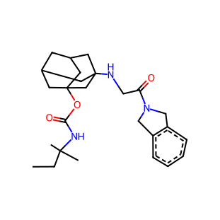 CCC(C)(C)NC(=O)OC12CC3CC(CC(NCC(=O)N4Cc5ccccc5C4)(C3)C1)C2